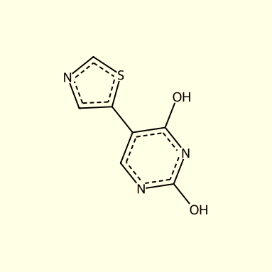 Oc1ncc(-c2cncs2)c(O)n1